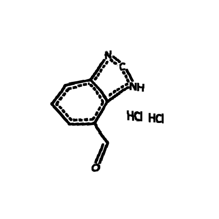 Cl.Cl.O=Cc1cccc2nc[nH]c12